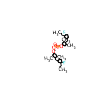 CCCc1cc(Cc2c(C)cc(OCO[PH](=O)OCOc3cc(C)c(Cc4ccc(F)c(CCC)c4)c(C)c3)cc2C)ccc1F